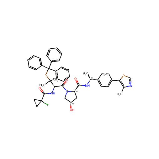 Cc1ncsc1-c1ccc([C@H](C)NC(=O)[C@H]2C[C@@H](O)CN2C(=O)C(NC(=O)C2(F)CC2)C(C)(C)SC(c2ccccc2)(c2ccccc2)c2ccccc2)cc1